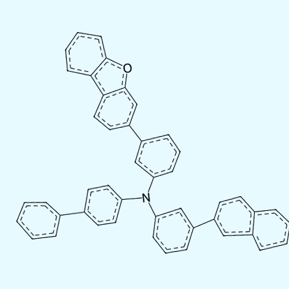 c1ccc(-c2ccc(N(c3cccc(-c4ccc5ccccc5c4)c3)c3cccc(-c4ccc5c(c4)oc4ccccc45)c3)cc2)cc1